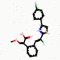 COC=C(C(=O)O)c1ccccc1C=C(F)c1nc(-c2ccc(Br)cc2)cs1